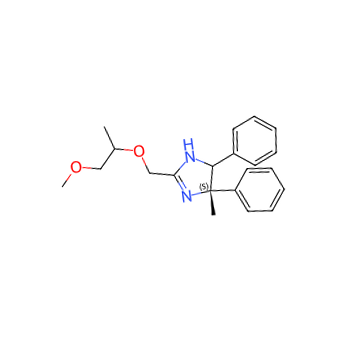 COCC(C)OCC1=N[C@@](C)(c2ccccc2)C(c2ccccc2)N1